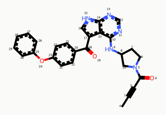 CC#CC(=O)N1CCC(Nc2ncnc3[nH]cc(C(=O)c4ccc(Oc5ccccc5)cc4)c23)C1